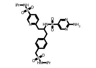 CC(C)NS(=O)(=O)Cc1ccc(CC(Cc2ccc(S(=O)(=O)NC(C)C)cn2)NS(=O)(=O)c2cnc(N)nc2)cc1